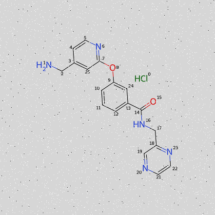 Cl.NCc1ccnc(Oc2cccc(C(=O)NCc3cnccn3)c2)c1